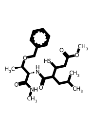 CNC(=O)[C@@H](NC(=O)C(CC(C)C)C(S)CC(=O)OC)[C@@H](C)OCc1ccccc1